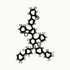 c1ccc(-c2ccc(N(c3ccc(-c4ccccc4)cc3)c3ccc(-c4ccc(-c5ccc6c(c5)oc5ccccc56)c5c4oc4ccccc45)c4c3oc3ccccc34)cc2)cc1